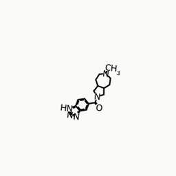 CN1CCC2CN(C(=O)c3ccc4[nH]nnc4c3)CC2CC1